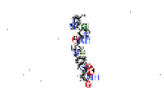 CC1(C)Cc2c(-c3cc(NC(=O)C4CCN(Cc5cc6c(cc5F)C(=O)N(C5CCC(=O)NC5=O)C6)CC4)ncc3Cl)cnn2C1